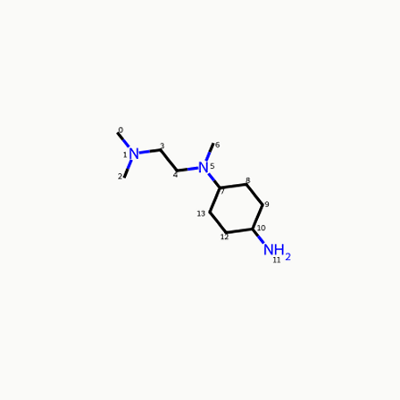 CN(C)CCN(C)C1CCC(N)CC1